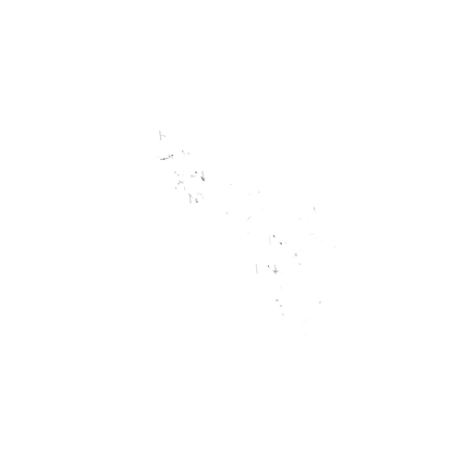 COC(=O)/C(=C/C(=N)c1cc(F)ccc1F)NCc1ccc(-c2noc(C(F)(F)F)n2)cc1